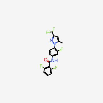 Cc1cc(C(F)F)nn1-c1ccc(NC(=O)c2c(F)cccc2F)cc1F